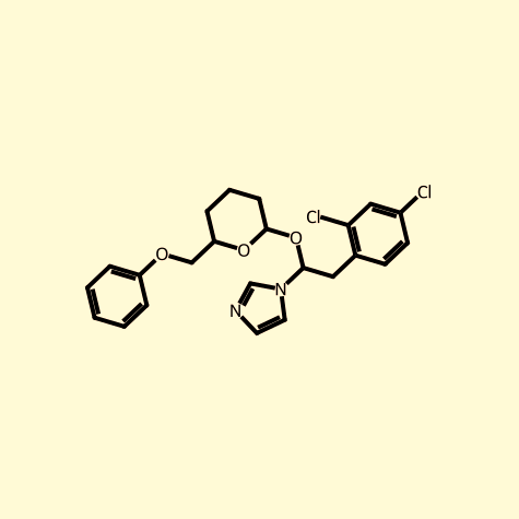 Clc1ccc(CC(OC2CCCC(COc3ccccc3)O2)n2ccnc2)c(Cl)c1